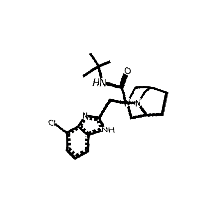 CC(C)(C)NC(=O)CN1C2CCC1CN(Cc1nc3c(Cl)cccc3[nH]1)C2